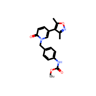 Cc1noc(C)c1-c1ccc(=O)n(Cc2ccc(NC(=O)OC(C)(C)C)cc2)c1